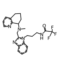 CN(Cc1nc2ccccc2n1CCCNC(=O)C(F)(F)F)C1CCCc2cccnc21